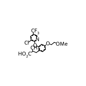 COCCOc1ccc(CC(C)C(=O)O)c(Oc2ncc(C(F)(F)F)cc2Cl)c1